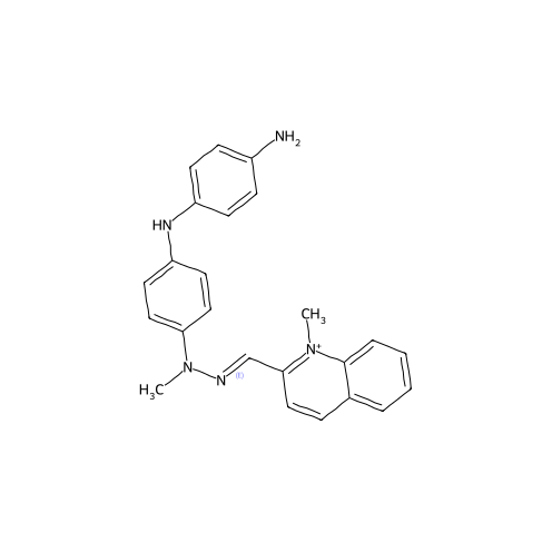 CN(/N=C/c1ccc2ccccc2[n+]1C)c1ccc(Nc2ccc(N)cc2)cc1